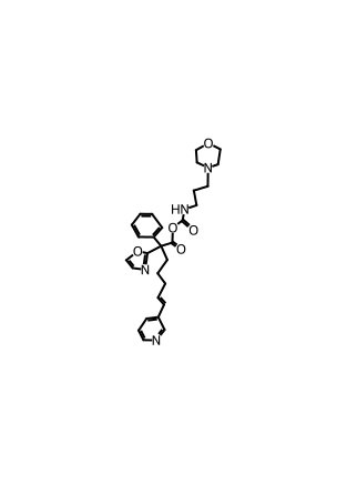 O=C(NCCCN1CCOCC1)OC(=O)C(CCCC=Cc1cccnc1)(c1ccccc1)c1ncco1